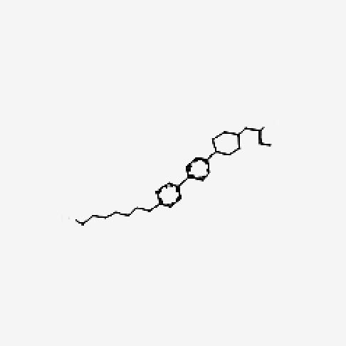 CCCCCCCCc1ccc(-c2ccc(C3CCC(CC(C)CC)CC3)cc2)cc1